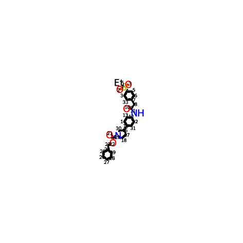 CCS(=O)(=O)c1ccc(CC(=O)Nc2ccc(C3C=CN(C(=O)OCc4ccccc4)C3)cc2)cc1